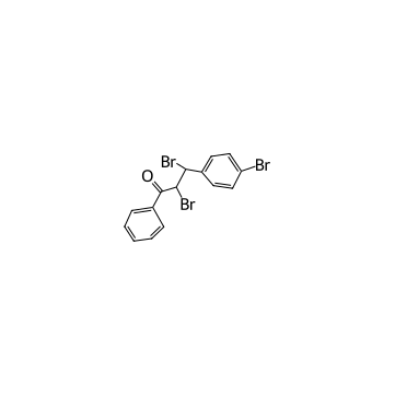 O=C(c1ccccc1)C(Br)C(Br)c1ccc(Br)cc1